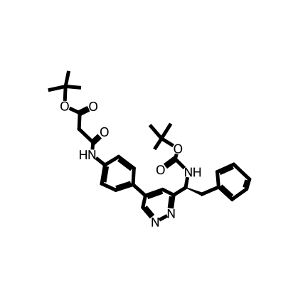 CC(C)(C)OC(=O)CC(=O)Nc1ccc(-c2cnnc([C@H](Cc3ccccc3)NC(=O)OC(C)(C)C)c2)cc1